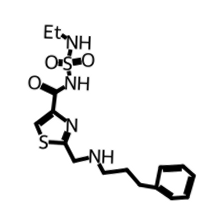 CCNS(=O)(=O)NC(=O)c1csc(CNCCCc2ccccc2)n1